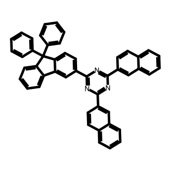 c1ccc(C2(c3ccccc3)c3ccccc3-c3cc(-c4nc(-c5ccc6ccccc6c5)nc(-c5ccc6ccccc6c5)n4)ccc32)cc1